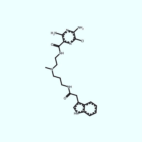 CN(CCCNC(=O)Cc1c[nH]c2ccccc12)CCNC(=O)c1nc(Cl)c(N)nc1N